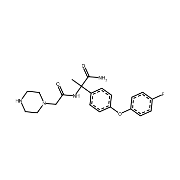 CC(NC(=O)CN1CCNCC1)(C(N)=O)c1ccc(Oc2ccc(F)cc2)cc1